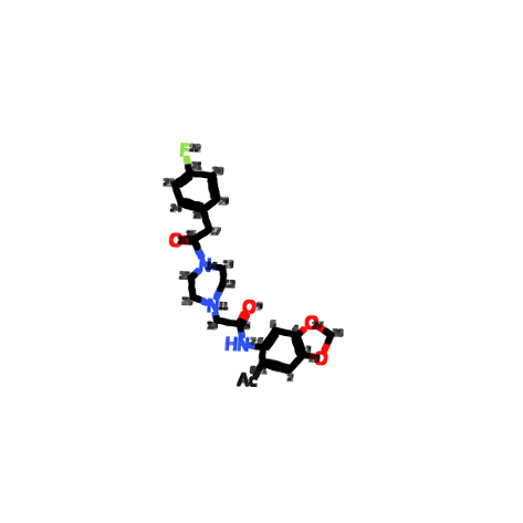 CC(=O)c1cc2c(cc1NC(=O)CN1CCN(C(=O)Cc3ccc(F)cc3)CC1)OCO2